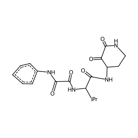 CC(C)C(NC(=O)C(=O)Nc1ccccc1)C(=O)NC1CCNC(=O)C1=O